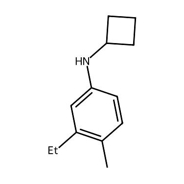 CCc1cc(NC2CCC2)ccc1C